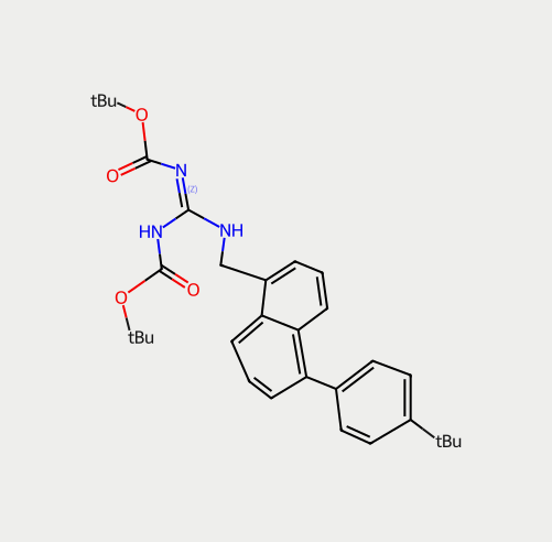 CC(C)(C)OC(=O)/N=C(/NCc1cccc2c(-c3ccc(C(C)(C)C)cc3)cccc12)NC(=O)OC(C)(C)C